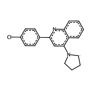 Clc1ccc(-c2cc(N3[CH]CCC3)c3ccccc3n2)cc1